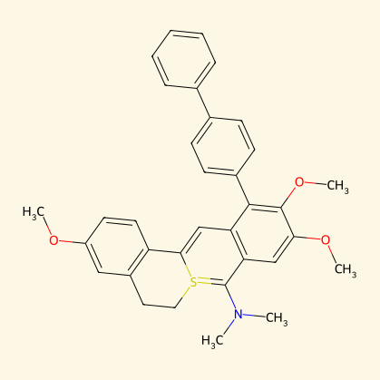 COc1ccc2c(c1)CCS1=C(N(C)C)c3cc(OC)c(OC)c(-c4ccc(-c5ccccc5)cc4)c3C=C21